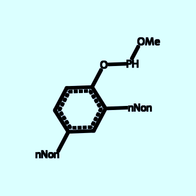 CCCCCCCCCc1ccc(OPOC)c(CCCCCCCCC)c1